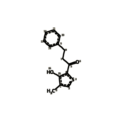 Cc1csc(C(=O)CCc2ccccc2)c1O